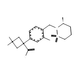 C[C@H]1CCCS(=O)(=O)N1Cc1ccc(C2(C(N)=O)CC(O)(O)C2)cc1F